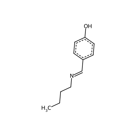 CCCCN=Cc1ccc(O)cc1